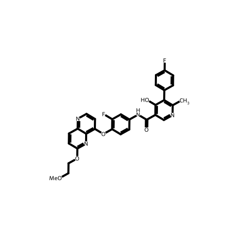 COCCOc1ccc2nccc(Oc3ccc(NC(=O)c4cnc(C)c(-c5ccc(F)cc5)c4O)cc3F)c2n1